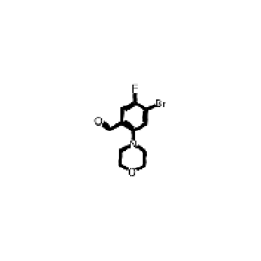 O=Cc1cc(F)c(Br)cc1N1CCOCC1